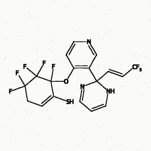 FC(F)(F)C=CC1(c2cnccc2OC2(F)C(S)=CCC(F)(F)C2(F)F)N=CC=CN1